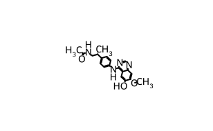 COc1cc2ncnc(Nc3ccc([C@@H](C)CNC(C)=O)cc3)c2cc1O